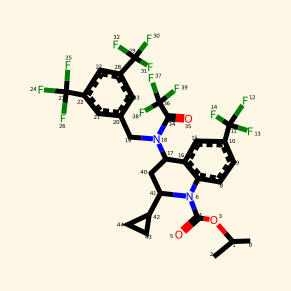 CC(C)OC(=O)N1c2ccc(C(F)(F)F)cc2C(N(Cc2cc(C(F)(F)F)cc(C(F)(F)F)c2)C(=O)C(F)(F)F)CC1C1CC1